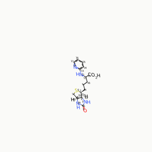 O=C1N[C@H]2[C@H](CS[C@H]2CCCC(Nc2ccccn2)C(=O)O)N1